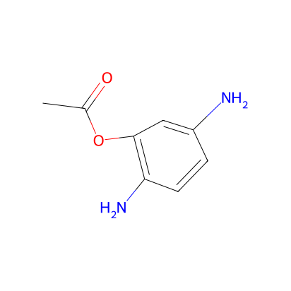 CC(=O)Oc1cc(N)ccc1N